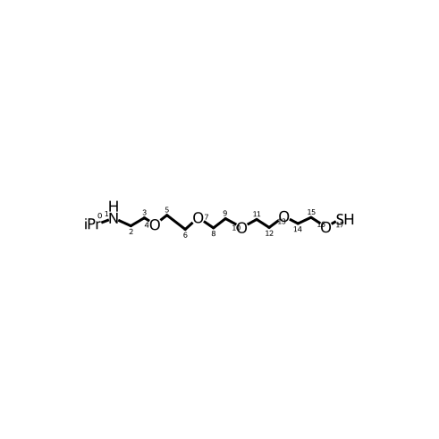 CC(C)NCCOCCOCCOCCOCCOS